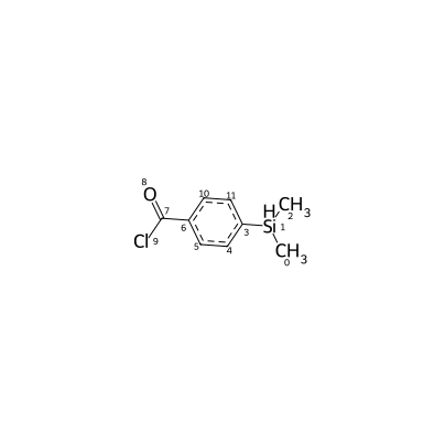 C[SiH](C)c1ccc(C(=O)Cl)cc1